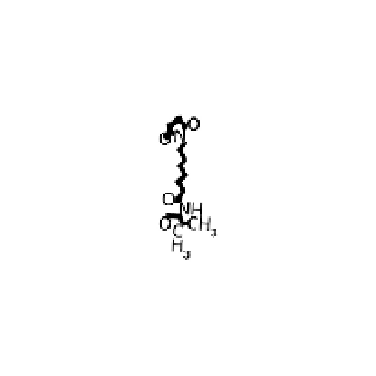 CC(C)[C@@H](C=O)NC(=O)CCCCCCCN1C(=O)C=CC1=O